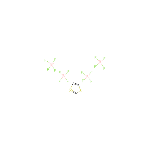 F[B-](F)(F)F.F[B-](F)(F)F.F[B-](F)(F)F.F[B-](F)(F)F.c1c[s+]cs1